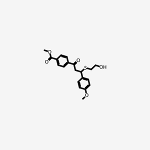 COC(=O)c1ccc(C(=O)CC(SCCO)c2ccc(OC)cc2)cc1